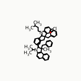 CC(C)CC[N+]1=C(/C=C/C=C2/N(C(C)C)c3ccc4ccccc4c3C2(C)Cc2ccccc2)C(Cc2ccccc2)(Cc2ccccc2)c2cc(Cl)ccc21